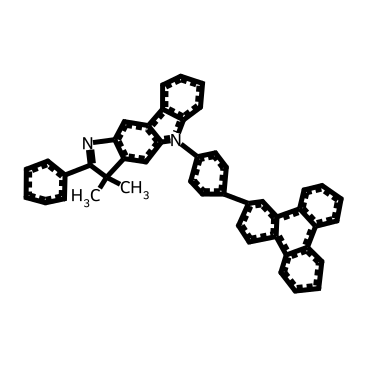 CC1(C)C(c2ccccc2)=Nc2cc3c4ccccc4n(-c4ccc(-c5ccc6c7ccccc7c7ccccc7c6c5)cc4)c3cc21